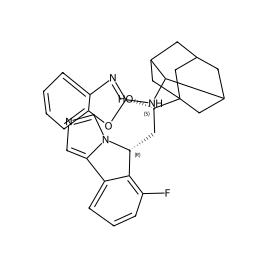 O[C@@H](C[C@@H]1c2c(F)cccc2-c2cncn21)C12CC3CC(C1)C(Nc1nc4ccccc4o1)C(C3)C2